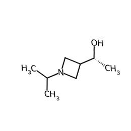 CC(C)N1CC([C@@H](C)O)C1